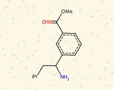 COC(=O)c1cccc(C(N)CC(C)C)c1